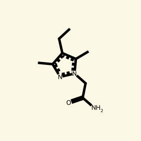 CCc1c(C)nn(CC(N)=O)c1C